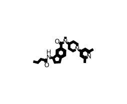 CCCC(=O)NC1CCc2ccc(C(=O)N(C)C3CCN(c4cc(C)nc(C)c4)CC3)cc21